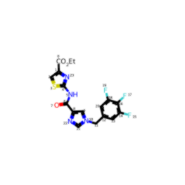 CCOC(=O)c1csc(NC(=O)c2cn(Cc3cc(F)c(F)c(F)c3)cn2)n1